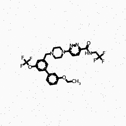 CCOc1cccc(-c2cc(CN3CCN(c4ccc(C(=O)NCC(F)(F)F)nn4)CC3)cc(OC(F)(F)F)c2)c1